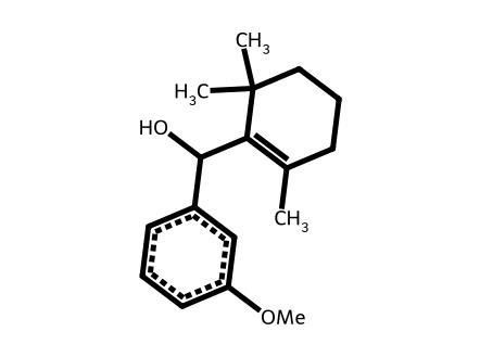 COc1cccc(C(O)C2=C(C)CCCC2(C)C)c1